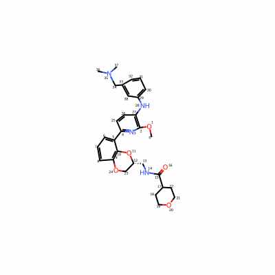 COc1nc(-c2cccc3c2O[C@H](CNC(=O)C2CCOCC2)CO3)ccc1Nc1cccc(CN(C)C)c1